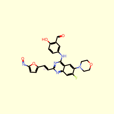 O=Cc1cc(Nc2nc(/C=C/c3ccc(N=O)o3)nc3cc(F)c(N4CCOCC4)cc23)ccc1O